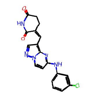 O=C1CCC(=Cc2cnn3ccc(Nc4cccc(Cl)c4)nc23)C(=O)N1